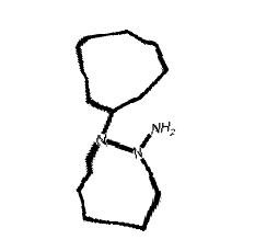 NN1CCCCCCN1C1CCCCCCC1